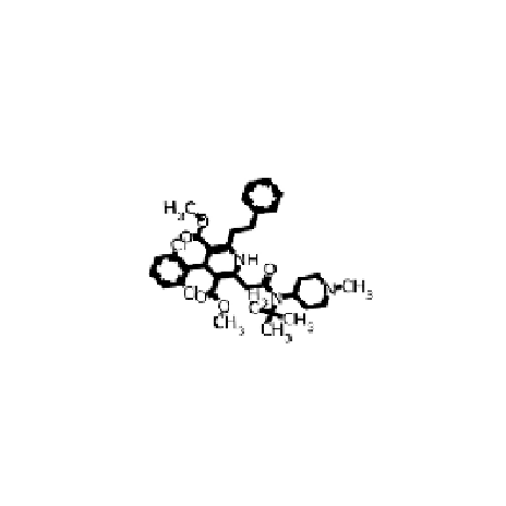 COC(=O)C1=C(CCc2ccccc2)NC(CC(=O)N(C2CCN(C)CC2)C(C)(C)C)=C(C(=O)OC)C1c1c(Cl)cccc1Cl